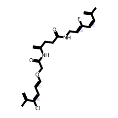 C=C(C)/C=C\C(F)=C\CNC(=O)CCC(=C)NC(=O)CO/C=C/C=C(/Cl)C(=C)C